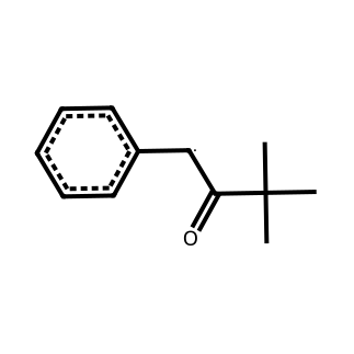 CC(C)(C)C(=O)[CH]c1ccccc1